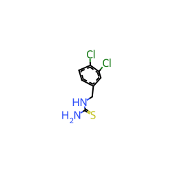 NC(=S)NCc1ccc(Cl)c(Cl)c1